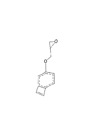 C1=Cc2cc(OCC3CO3)ccc21